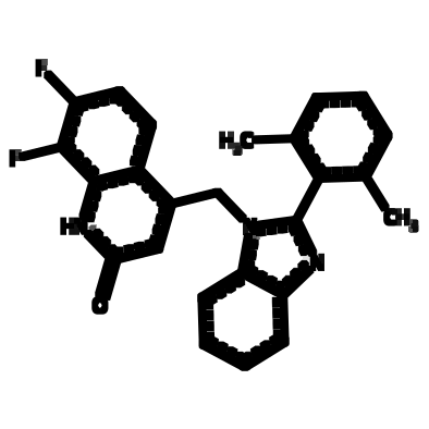 Cc1cccc(C)c1-c1nc2ccccc2n1Cc1cc(=O)[nH]c2c(F)c(F)ccc12